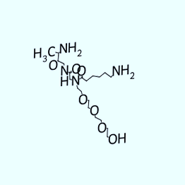 CC(N)C(=O)CNC(=O)CN(CCOCCOCCOCCO)C(=O)CCCCCN